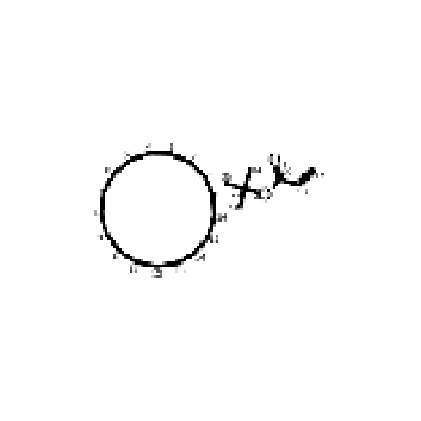 C1CCCCCCCCCCCCCCCC1.C=CC(=O)OC(C)(C)C